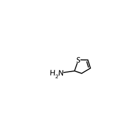 NC1CC=CS1